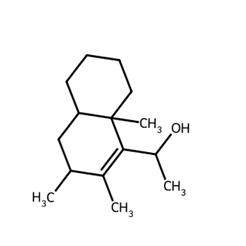 CC1=C(C(C)O)C2(C)CCCCC2CC1C